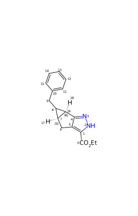 CCOC(=O)c1[nH]nc2c1C[C@H]1C(Cc3ccccc3)[C@@H]21